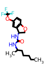 CCCCCC(C)NC(=O)NC1COc2ccc(OC(F)(F)F)cc21